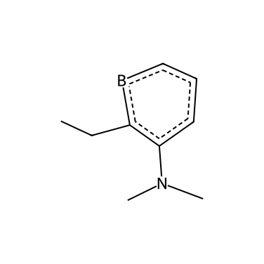 CCc1bcccc1N(C)C